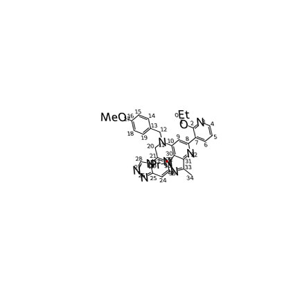 CCOc1ncccc1-c1cc(N(Cc2ccc(OC)cc2)Cc2nccc3nncn23)c2c(n1)c(C)nn2C(C)C